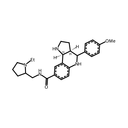 CCN1CCCC1CNC(=O)c1ccc2c(c1)[C@H]1NCC[C@H]1C(c1ccc(OC)cc1)N2